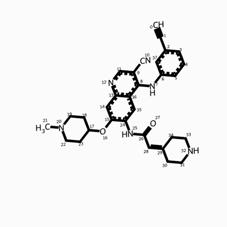 C#Cc1cccc(Nc2c(C#N)cnc3cc(OC4CCN(C)CC4)c(NC(=O)C=C4CCNCC4)cc23)c1